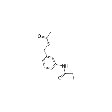 CCC(=O)Nc1cccc(CSC(C)=O)c1